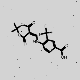 CC1(C)OC(=O)C(=CNc2ccc(C(=O)O)cc2C(F)(F)F)C(=O)O1